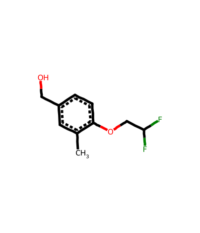 Cc1cc(CO)ccc1OCC(F)F